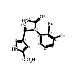 O=C(O)c1cc(-c2n[nH]c(=O)n2-c2cccc(F)c2F)c[nH]1